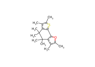 Cc1oc2c(c1C)C(C)(C)C(C)(C)c1c-2sc(C)c1C